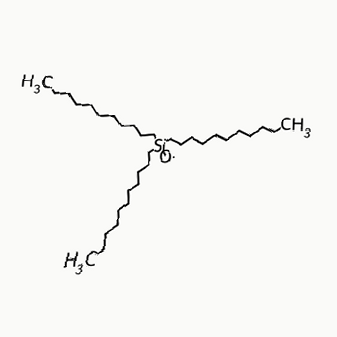 CCCCCCCCCCC[Si]([O])(CCCCCCCCCCC)CCCCCCCCCCC